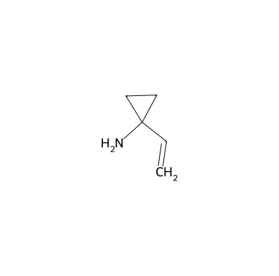 C=CC1(N)CC1